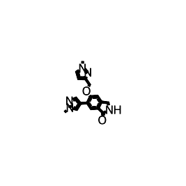 Cn1cc(-c2cc3c(cc2OCc2ccn(C)n2)CNC3=O)cn1